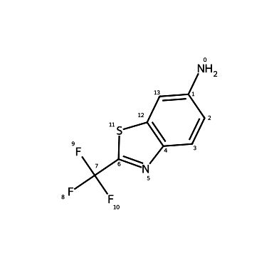 Nc1ccc2nc(C(F)(F)F)sc2c1